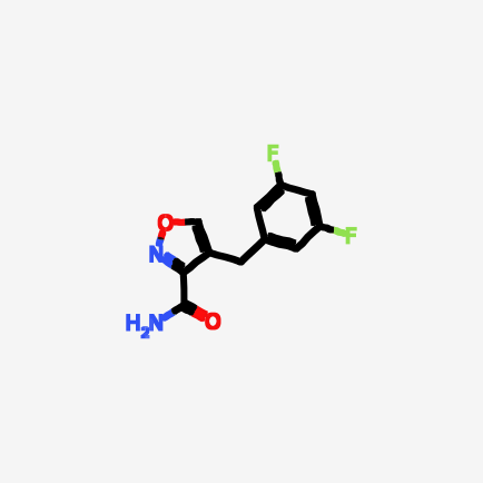 NC(=O)c1nocc1Cc1cc(F)cc(F)c1